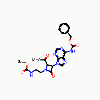 COC(=O)C1C(n2cnc3c(NC(=O)OCc4ccccc4)ncnc32)C(=O)N1CCNC(=O)OC(C)(C)C